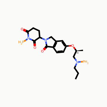 CCCN(P)C[C@H](C)Oc1ccc2c(c1)CN(C1CCC(=O)N(P)C1=O)C2=O